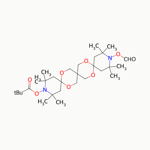 CC(C)(C)C(=O)ON1C(C)(C)CC2(CC1(C)C)OCC1(COC3(CC(C)(C)N(OC=O)C(C)(C)C3)OC1)CO2